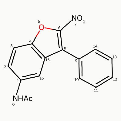 CC(=O)Nc1ccc2oc([N+](=O)[O-])c(-c3ccccc3)c2c1